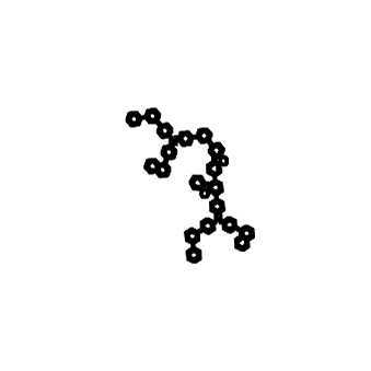 C1=C=c2c(oc3ccc(-c4cccc(-c5ccc(N(c6ccc(-c7cccc(-c8ccccc8)c7)cc6)c6ccc(-c7cccc8ccccc78)cc6)cc5)c4)cc23)=CC=1c1ccc(-c2ccc(N(c3ccc(-c4cccc(-c5ccccc5)c4)cc3)c3ccc(-c4cccc5ccccc45)cc3)cc2)c2oc3ccccc3c12